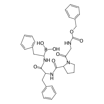 O=C(NCC(=O)N1CCCC1C(=O)NC(Cc1ccccc1)C(=O)NC(Cc1ccccc1)B(O)O)OCc1ccccc1